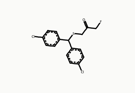 O=C(CF)CSC(c1ccc(Cl)cc1)c1ccc(Cl)cc1